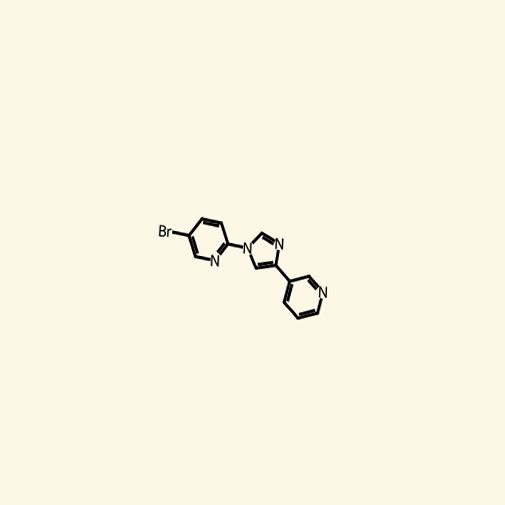 Brc1ccc(-n2cnc(-c3cccnc3)c2)nc1